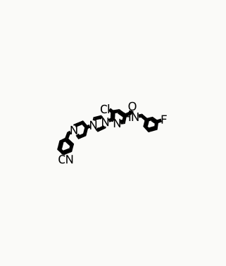 N#Cc1ccc(CN2CCC(N3CCN(c4ncc(C(=O)NCc5cccc(F)c5)cc4Cl)CC3)CC2)cc1